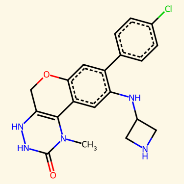 CN1C(=O)NNC2=C1c1cc(NC3CNC3)c(-c3ccc(Cl)cc3)cc1OC2